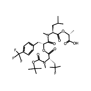 CC(C)C[C@@H](C(=O)O[C@H](C)C(=O)O)N(C)C(=O)[C@@H](Cc1ccc(C(F)(F)F)cc1)OC(=O)[C@H](CC(C)(C)F)N(C)C(=O)OC(C)(C)C